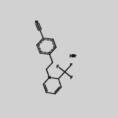 Br.N#Cc1ccc(CCN2C=CC=CC2C(F)(F)F)cc1